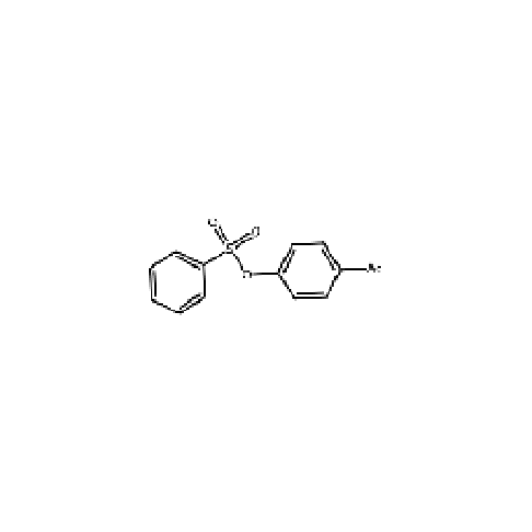 CC(=O)c1ccc(OS(=O)(=O)c2ccccc2)cc1